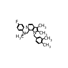 Cc1ccc(Cn2c(C)c(C)c3ccnc(CN(C)c4ccc(F)cc4)c32)cc1C